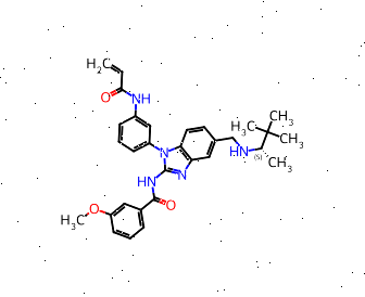 C=CC(=O)Nc1cccc(-n2c(NC(=O)c3cccc(OC)c3)nc3cc(CN[C@@H](C)C(C)(C)C)ccc32)c1